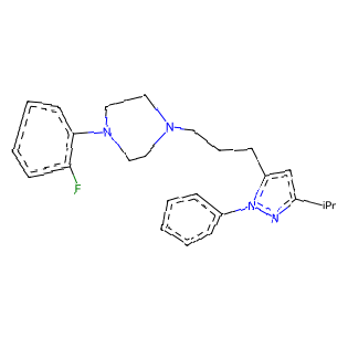 CC(C)c1cc(CCCN2CCN(c3ccccc3F)CC2)n(-c2ccccc2)n1